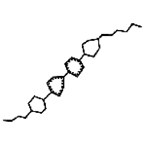 CCCCCCC1CCC(c2ccc(-c3ccc(C4CCC(CCCC)CC4)cc3)cc2)CC1